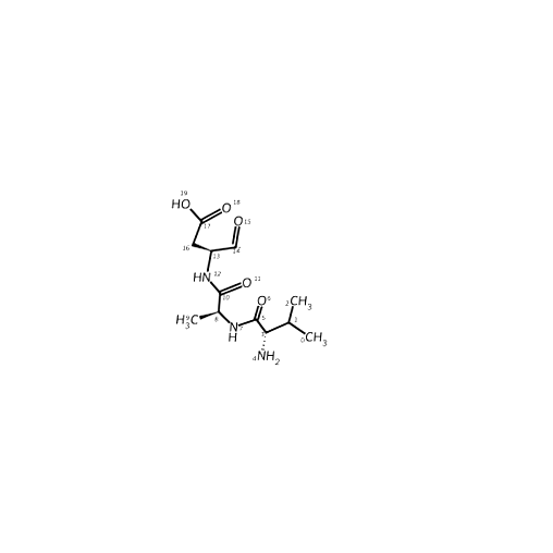 CC(C)[C@H](N)C(=O)N[C@@H](C)C(=O)N[C@H]([C]=O)CC(=O)O